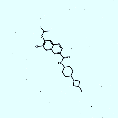 O=C(NC1CCC(N2CC(F)C2)CC1)c1cnc2cc(OC(F)F)c(Cl)cc2c1